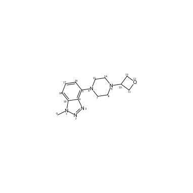 Cn1nnc2c(N3CCN(C4COC4)CC3)cccc21